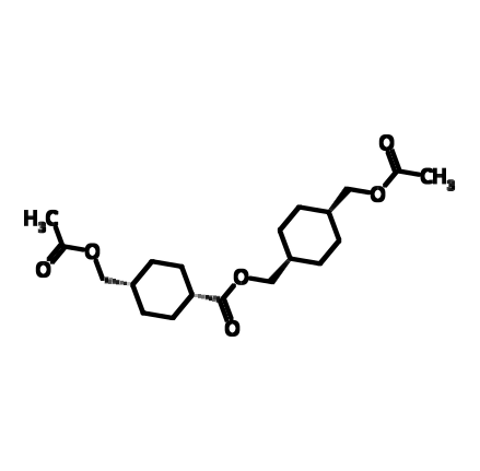 CC(=O)OC[C@H]1CC[C@@H](COC(=O)[C@H]2CC[C@@H](COC(C)=O)CC2)CC1